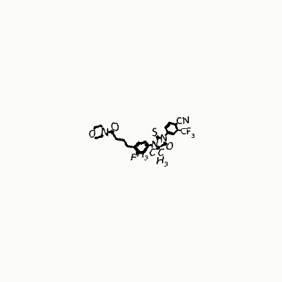 CC1(C)C(=O)N(C2=CC(C(F)(F)F)C(C#N)C=C2)C(=S)N1c1ccc(CCCC(=O)N2CCOCC2)c(F)c1